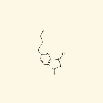 CN1C[S+]([O-])c2cc(CCCCl)ccc21